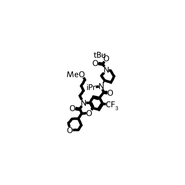 COCCCCN1C(=O)C(C2CCOCC2)Oc2cc(C(F)(F)F)c(C(=O)N(C(C)C)[C@@H]3CCCN(C(=O)OC(C)(C)C)C3)cc21